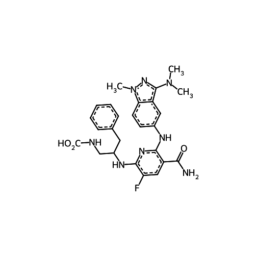 CN(C)c1nn(C)c2ccc(Nc3nc(NC(CNC(=O)O)Cc4ccccc4)c(F)cc3C(N)=O)cc12